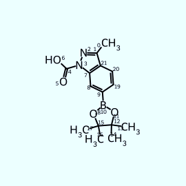 Cc1nn(C(=O)O)c2cc(B3OC(C)(C)C(C)(C)O3)ccc12